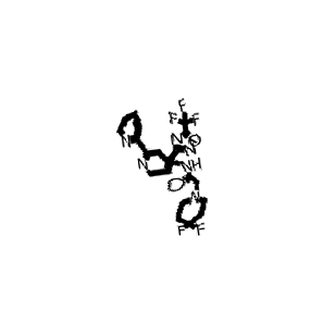 O=C(CN1CCC(F)(F)CC1)NC1(c2noc(C(F)(F)F)n2)C=CN=C(c2ccccn2)C1